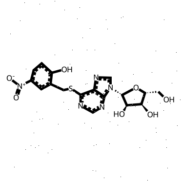 O=[N+]([O-])c1ccc(O)c(CSc2ncnc3c2ncn3[C@@H]2O[C@H](CO)[C@@H](O)[C@H]2O)c1